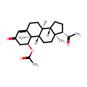 CC(=O)O[C@H]1CC(=O)C=C2CC[C@H]3[C@@H]4CC[C@H](C(C)=O)[C@@]4(C)CC[C@@H]3[C@]21C